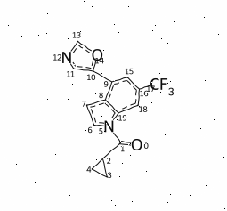 O=C(C1CC1)n1ccc2c(-c3cnco3)cc(C(F)(F)F)cc21